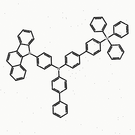 c1ccc(-c2ccc(N(c3ccc(-c4ccc([Si](c5ccccc5)(c5ccccc5)c5ccccc5)cc4)cc3)c3ccc(-n4c5ccccc5c5ccc6ccccc6c54)cc3)cc2)cc1